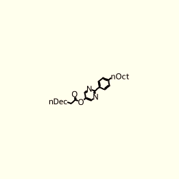 CCCCCCCCCCCC(=O)Oc1cnc(-c2ccc(CCCCCCCC)cc2)nc1